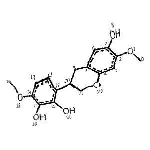 COc1cc2c(cc1O)CC(c1ccc(OC)c(O)c1O)CO2